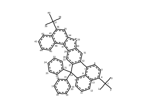 CC(C)(C)c1ccc2c3c(cccc13)C(c1ccccc1)(c1ccccc1)c1cc3c(cc1-2)sc1cc(C(C)(C)C)c2ccccc2c13